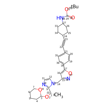 C[C@H](OC1CCCCO1)c1nccn1Cc1cc(-c2ccc(C#CC3CCC(NC(=O)OC(C)(C)C)CC3)cc2)on1